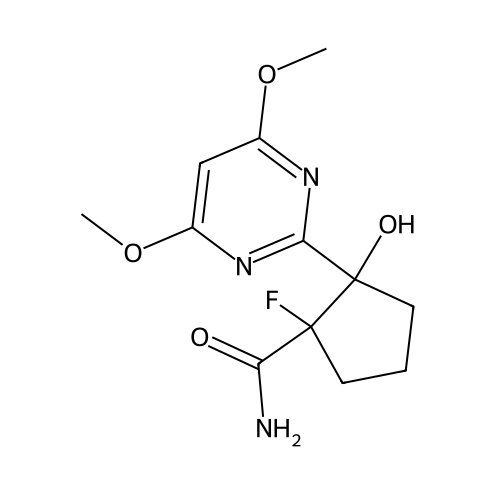 COc1cc(OC)nc(C2(O)CCCC2(F)C(N)=O)n1